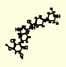 COc1cc(OC)c(Cl)c(-c2ccc3c(NC(=O)c4ccc(N5C[C@@H](C)N[C@@H](C)C5)cc4)n[nH]c3n2)c1Cl